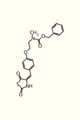 CN(CCOc1ccc(C=C2NC(=O)SC2=O)cc1)C(=O)OCc1ccccc1